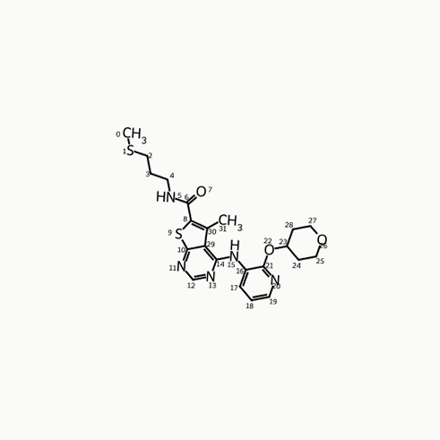 CSCCCNC(=O)c1sc2ncnc(Nc3cccnc3OC3CCOCC3)c2c1C